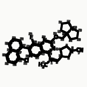 C/[N+](=C/C1CCN(C#N)C1)c1nc(OCC23CCCN2CCC3)nc2c(F)c(-c3cccc4cccc(Cl)c34)ncc12